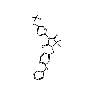 CC1(C)C(=O)N(c2ccc(SC(F)(F)F)cc2)C(=O)N1Cc1ccnc(Oc2ccccc2)c1